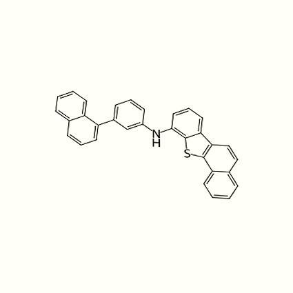 c1cc(Nc2cccc3c2sc2c4ccccc4ccc32)cc(-c2cccc3ccccc23)c1